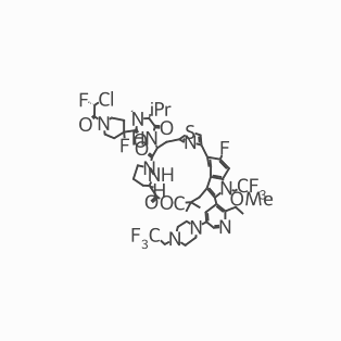 CO[C@@H](C)c1ncc(N2CCN(CC(F)(F)F)CC2)cc1-c1c2c3cc(c(F)cc3n1CC(F)(F)F)-c1csc(n1)C[C@H](NC(=O)[C@H](C(C)C)N(C)C(=O)C1(F)CCN(C(=O)[C@H](F)Cl)CC1)C(=O)N1CCC[C@H](N1)C(=O)OCC(C)(C)C2